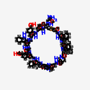 CCCC[C@H]1C(=O)N2CCC[C@@H]2C(=O)N[C@@H](CC(=O)O)C(=O)N[C@@H](C)C(=O)N(C)[C@@H](Cc2ccccc2)C(=O)N[C@@H](Cc2ccc(O)cc2)C(=O)N(C)C(=O)N[C@@H](Cc2c[nH]c3ccccc23)C(=O)N[C@@H](Cc2ccc(O)cc2)C(=O)N[C@@H](CC(C)C)C(=O)N[C@H](C(=O)NCC(N)=O)CSCC(=O)N[C@@H](Cc2ccccc2)C(=O)N(C)[C@@H](Cc2ccccc2)C(=O)N1C